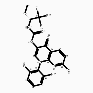 CC[C@@H](NC(=O)Oc1cn(-c2c(F)cccc2F)c2nc(Cl)ccc2c1=O)C(F)(F)F